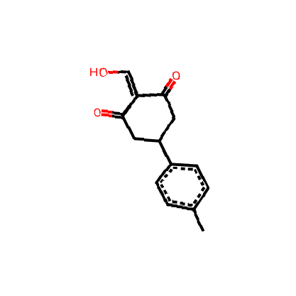 Cc1ccc(C2CC(=O)C(=CO)C(=O)C2)cc1